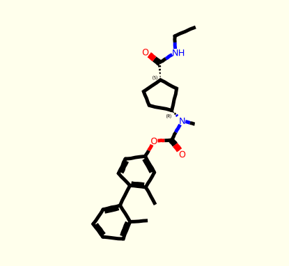 CCNC(=O)[C@H]1CC[C@@H](N(C)C(=O)Oc2ccc(-c3ccccc3C)c(C)c2)C1